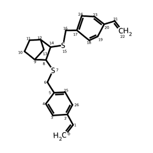 C=Cc1ccc(CSC2C3CCC(C3)C2SCc2ccc(C=C)cc2)cc1